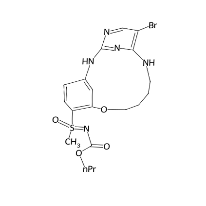 CCCOC(=O)N=S(C)(=O)c1ccc2cc1OCCCCNc1nc(ncc1Br)N2